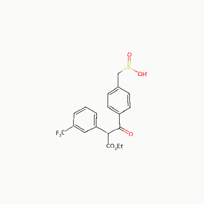 CCOC(=O)C(C(=O)c1ccc(CS(=O)O)cc1)c1cccc(C(F)(F)F)c1